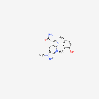 Cc1ccc(O)c(C)c1-n1cc(C(N)=O)c2cc3c(cnn3C)nc21